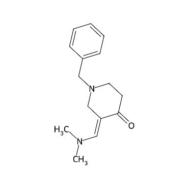 CN(C)C=C1CN(Cc2ccccc2)CCC1=O